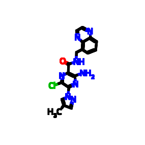 Cc1cnn(-c2nc(N)c(C(=O)NCc3cccc4nccnc34)nc2Cl)c1